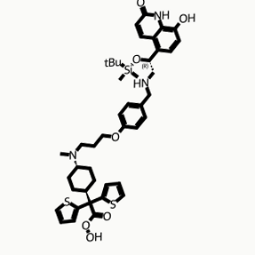 CN(CCCOc1ccc(CNC[C@H](O[Si](C)(C)C(C)(C)C)c2ccc(O)c3[nH]c(=O)ccc23)cc1)[C@H]1CC[C@H](C(C(=O)OO)(c2cccs2)c2cccs2)CC1